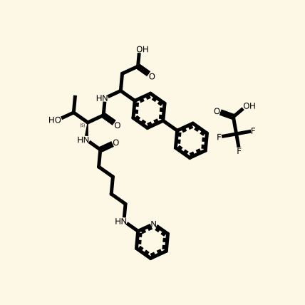 CC(O)[C@H](NC(=O)CCCCNc1ccccn1)C(=O)NC(CC(=O)O)c1ccc(-c2ccccc2)cc1.O=C(O)C(F)(F)F